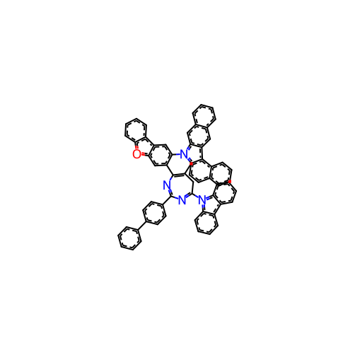 CC1=C(c2cc3oc4ccccc4c3cc2-n2c3cc4ccccc4cc3c3c4ccccc4ccc32)N=C(c2ccc(-c3ccccc3)cc2)N=C(n2c3ccccc3c3ccccc32)C1